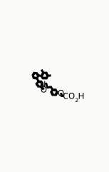 Cc1ccc(-c2ccccc2-c2ccc(=O)n(CCCc3cccc(OCC(=O)O)c3)c2)c(C)c1